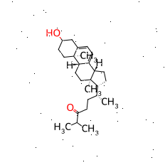 CC(C)C(=O)CC[C@@H](C)[C@H]1CC[C@H]2C3=CC=C4CC(O)CC[C@]4(C)[C@H]3CC[C@]12C